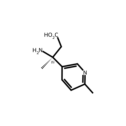 Cc1ccc([C@@](C)(N)CC(=O)O)cn1